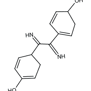 N=C(C(=N)C1C=CC(O)=CC1)C1=CCC(O)C=C1